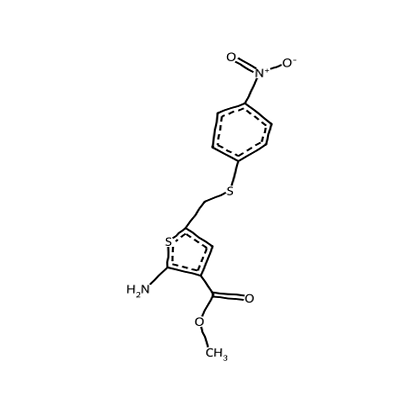 COC(=O)c1cc(CSc2ccc([N+](=O)[O-])cc2)sc1N